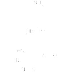 COc1ccc(Oc2cc(Nc3cccc(NC(=O)c4ccc(N)cc4)c3)ncn2)cn1